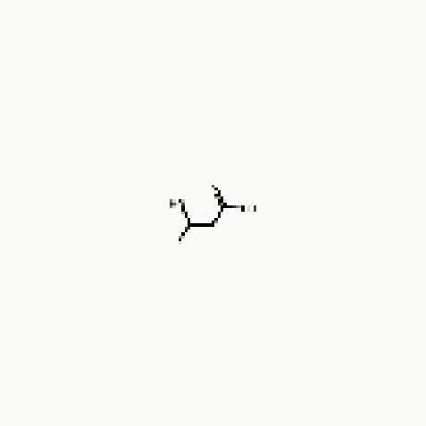 CC(O)CC(O)=S